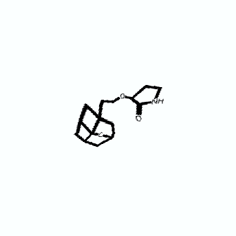 O=C1NCCC1OCCC12CC3CC4CC(C1)C42C3